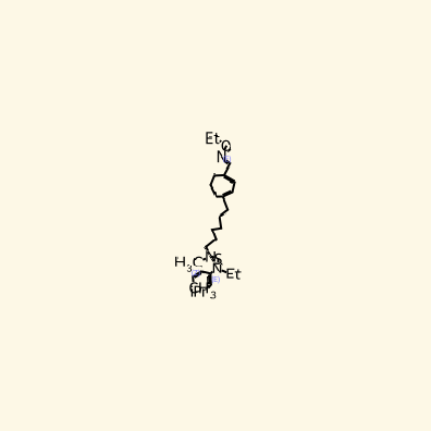 C/C=C\C(=C/C(C)C)N(CC)SN(C)CCCCCCC1=CC=C(/C=N/OCC)CCC1